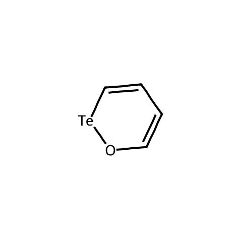 C1=CO[Te]C=C1